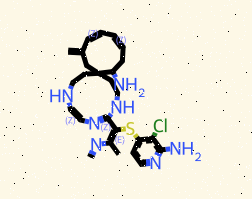 C=N\C(C)=C(Sc1ccnc(N)c1Cl)/C1=N/C=C\NCCC2(CCN1)CC(=C)/C=C\C=C/CC2N